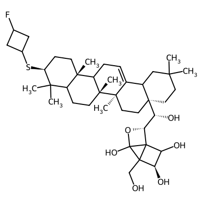 CC1(C)CC[C@]2([C@H](O)[C@H]3OC4(O)C5(CO)[C@H](O)C(O)C345)CC[C@]3(C)C(=CCC4[C@@]5(C)CC[C@H](SC6CC(F)C6)C(C)(C)C5CC[C@]43C)C2C1